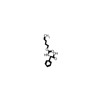 C=CCCCOC(=O)N[C@H](C(=O)O)c1ccccc1